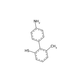 Cc1cccc(S)c1-c1ccc(N)cc1